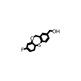 OCc1ccc2c(c1)COC1=CC(F)=CCC1S2